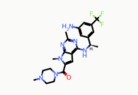 Cc1nc(N[C@H](C)c2cc(N)cc(C(F)(F)F)c2)c2cc(C(=O)N3CCN(C)CC3)n(C)c2n1